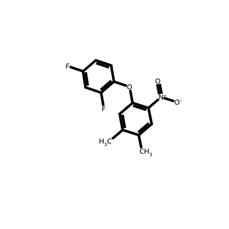 Cc1cc(Oc2ccc(F)cc2F)c([N+](=O)[O-])cc1C